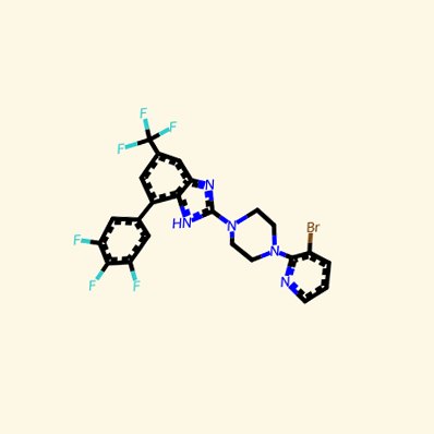 Fc1cc(-c2cc(C(F)(F)F)cc3nc(N4CCN(c5ncccc5Br)CC4)[nH]c23)cc(F)c1F